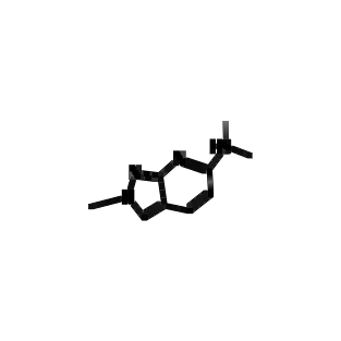 Cn1cc2ccc([SH](C)C)nc2n1